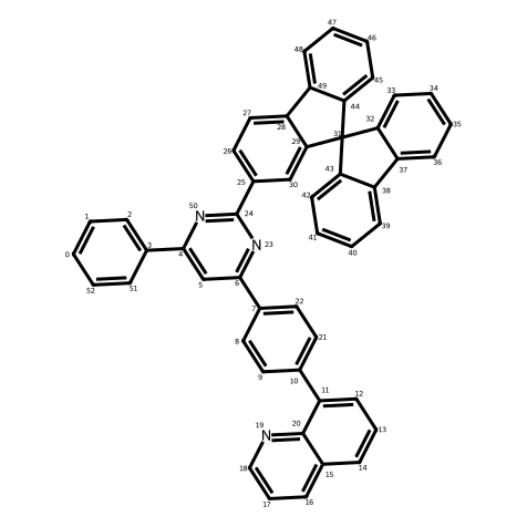 c1ccc(-c2cc(-c3ccc(-c4cccc5cccnc45)cc3)nc(-c3ccc4c(c3)C3(c5ccccc5-c5ccccc53)c3ccccc3-4)n2)cc1